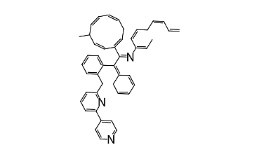 C=C/C=C\C\C=C/C(=C\C)/N=C(C(=C1\C=CC=CC1)/c1ccccc1Cc1cccc(-c2ccncc2)n1)\C1=C\C/C=C\C=C/C(C)\C=C/1